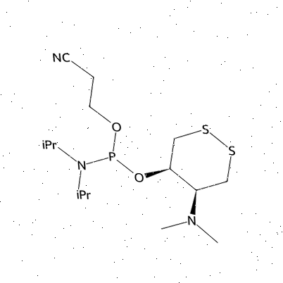 CC(C)N(C(C)C)P(OCCC#N)O[C@H]1CSSC[C@H]1N(C)C